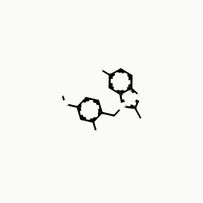 CCOC(=O)c1ccc2nc(C)n(Cc3ccc(SC(C)(C)C)cc3Cl)c2c1